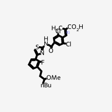 CCCCC(CCc1cccc(-c2csc(NC(=O)c3cc(Cl)c(/C=C(\C)C(=O)O)c(Cl)c3)n2)c1F)OC